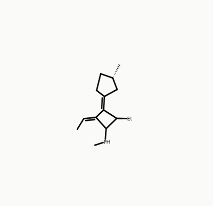 C/C=C1/C(=C2\CC[C@H](C)C2)C(CC)C1PC